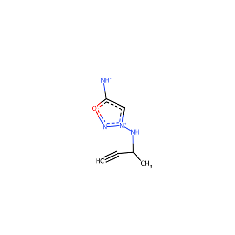 C#CC(C)N[n+]1cc([NH-])on1